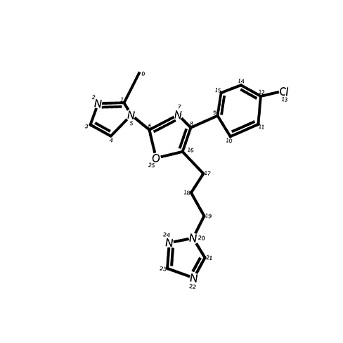 Cc1nccn1-c1nc(-c2ccc(Cl)cc2)c(CCCn2cncn2)o1